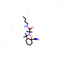 CCCCNC(=O)C(C)(C)N(OC1(C#N)CCCCC1)C(C)(C)C